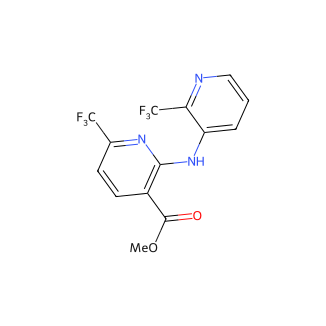 COC(=O)c1ccc(C(F)(F)F)nc1Nc1cccnc1C(F)(F)F